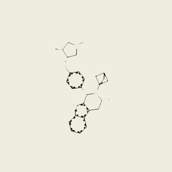 CCCN1C[C@H](F)[C@H](Nc2ccc([C@@H]3c4[nH]c5ccccc5c4C[C@@H](C)N3C34CC(C3)C4)cc2)C1